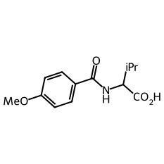 COc1ccc(C(=O)NC(C(=O)O)C(C)C)cc1